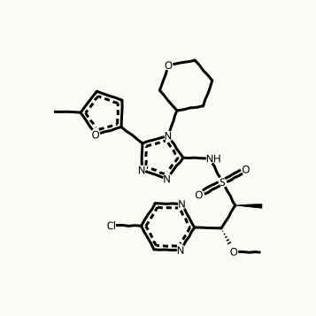 CO[C@H](c1ncc(Cl)cn1)[C@H](C)S(=O)(=O)Nc1nnc(-c2ccc(C)o2)n1C1CCCOC1